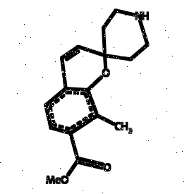 COC(=O)c1ccc2c(c1C)OC1(C=C2)CCNCC1